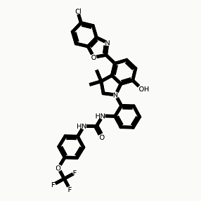 CC1(C)CN(c2ccccc2NC(=O)Nc2ccc(OC(F)(F)F)cc2)c2c(O)ccc(-c3nc4cc(Cl)ccc4o3)c21